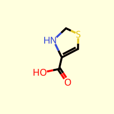 O=C(O)C1=CSCN1